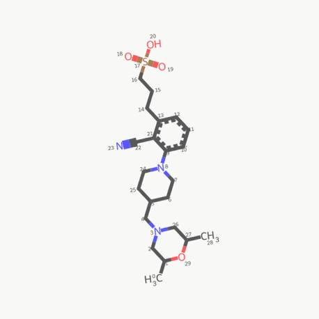 CC1CN(CC2CCN(c3[c]ccc(CCCS(=O)(=O)O)c3C#N)CC2)CC(C)O1